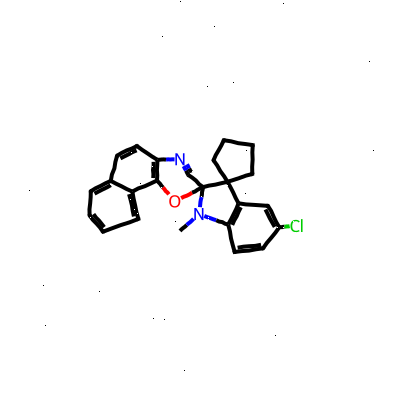 CN1c2ccc(Cl)cc2C2(CCCC2)C12C=Nc1ccc3ccccc3c1O2